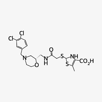 CC1=C(C(=O)O)NC(SCC(=O)NC[C@H]2CN(Cc3ccc(Cl)c(Cl)c3)CCO2)S1